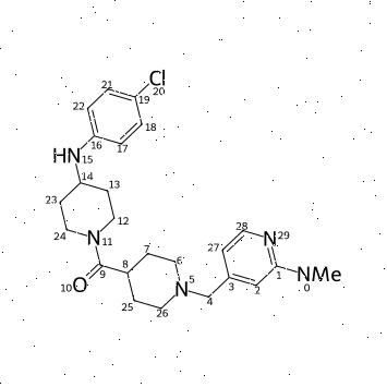 CNc1cc(CN2CCC(C(=O)N3CCC(Nc4ccc(Cl)cc4)CC3)CC2)ccn1